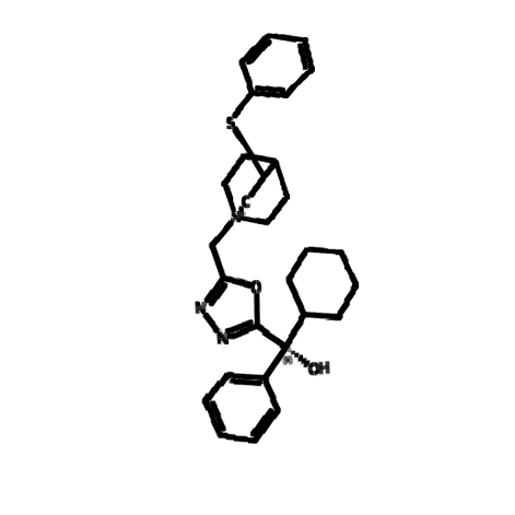 O[C@](c1ccccc1)(c1nnc(C[N+]23CCC(CC2)C(Sc2ccccc2)C3)o1)C1CCCCC1